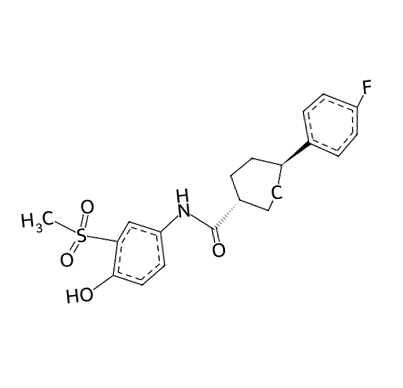 CS(=O)(=O)c1cc(NC(=O)[C@H]2CC[C@H](c3ccc(F)cc3)CC2)ccc1O